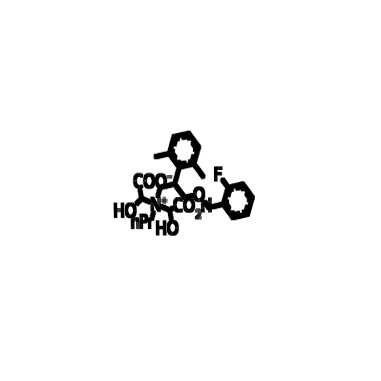 CCC[N+](CC(COCc1ccccc1F)c1c(C)cccc1C)(C(O)C(=O)[O-])C(O)C(=O)O